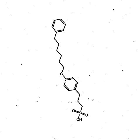 O=S(=O)(O)CCCc1ccc(OCCCCCCc2ccccc2)cc1